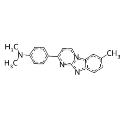 Cc1ccc2nc3nc(-c4ccc(N(C)C)cc4)ccn3c2c1